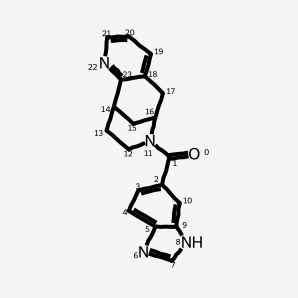 O=C(c1ccc2nc[nH]c2c1)N1CCC2CC1Cc1cccnc12